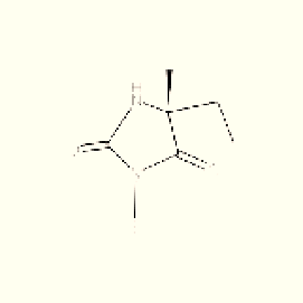 CC[C@@]1(C)NC(=O)N(S)C1=O